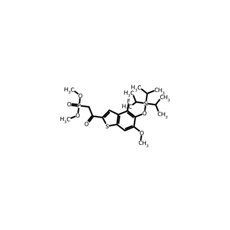 COc1cc2sc(C(=O)CP(=O)(OC)OC)cc2c(F)c1O[Si](C(C)C)(C(C)C)C(C)C